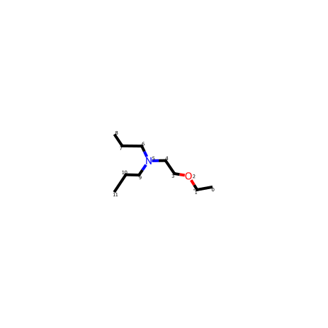 C[CH]OCCN(CCC)CCC